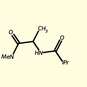 CNC(=O)C(C)NC(=O)C(C)C